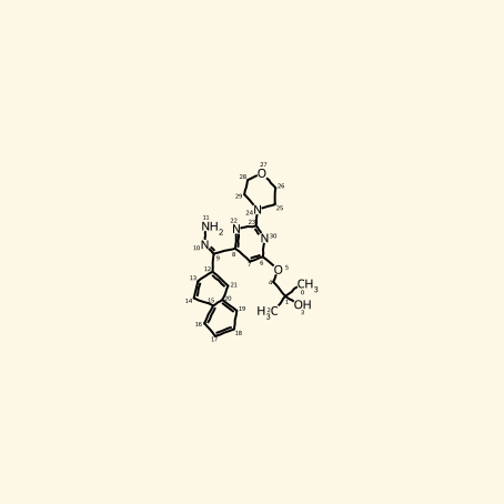 CC(C)(O)COc1cc(C(=NN)c2ccc3ccccc3c2)nc(N2CCOCC2)n1